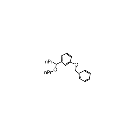 CCCOC(CCC)c1cccc(OCc2ccccc2)c1